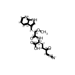 CO[C@@H](Cc1c[nH]c2ncccc12)C(=O)N[C@@H](CCC(=O)C=[N+]=[N-])C(=O)O